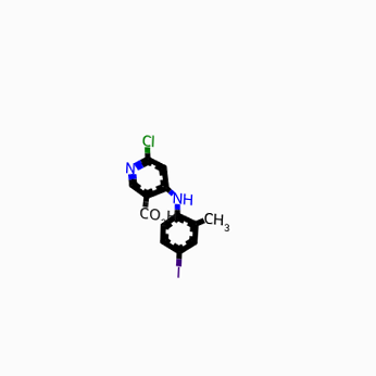 Cc1cc(I)ccc1Nc1cc(Cl)ncc1C(=O)O